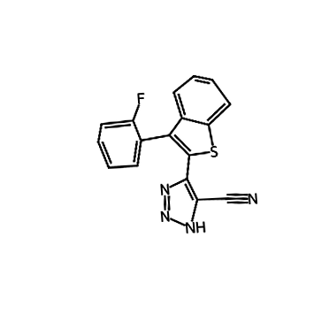 N#Cc1[nH]nnc1-c1sc2ccccc2c1-c1ccccc1F